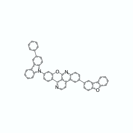 c1ccc(-c2ccc3c(c2)c2ccccc2n3-c2ccc3c(c2)Oc2nc4ccc(-c5ccc6oc7ccccc7c6c5)cc4c4ccnc-3c24)cc1